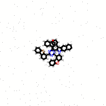 c1ccc2cc3c(cc2c1)c1c2ccccc2ccc1n3-c1ccc2oc3ccccc3c2c1-c1nc(-c2cccc3ccccc23)nc(-c2cccc3c2sc2ccccc23)n1